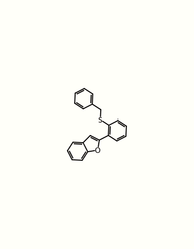 [c]1cccc(-c2cc3ccccc3o2)c1SCc1ccccc1